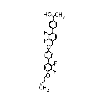 C=CCCOc1ccc(-c2ccc(OCc3ccc(-c4ccc(C(C)O)cc4)c(F)c3F)cc2)c(F)c1F